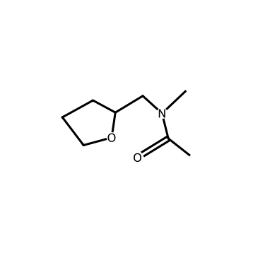 CC(=O)N(C)CC1CCCO1